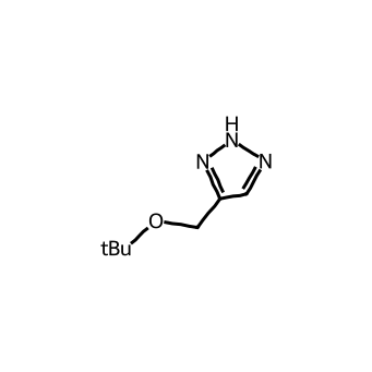 CC(C)(C)OCc1cn[nH]n1